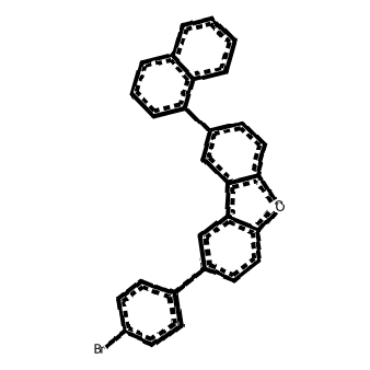 Brc1ccc(-c2ccc3oc4ccc(-c5cccc6ccccc56)cc4c3c2)cc1